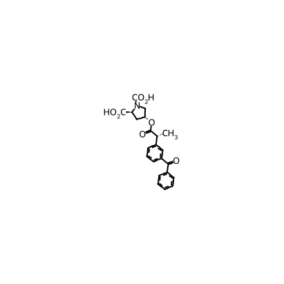 C[C@@H](C(=O)O[C@@H]1C[C@@H](C(=O)O)N(C(=O)O)C1)c1cccc(C(=O)c2ccccc2)c1